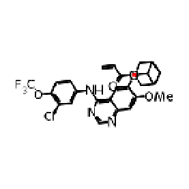 C=CC(=O)N1CC2CC(C1)C2Oc1cc2c(Nc3ccc(OC(F)(F)F)c(Cl)c3)ncnc2cc1OC